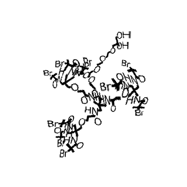 CC(C)(Br)C(=O)NCC(CNC(=O)C(C)(C)Br)(CNC(=O)C(C)(C)Br)COCCC(=O)NCC(CNC(=O)CCOCC(CNC(=O)C(C)(C)Br)(CNC(=O)C(C)(C)Br)CNC(=O)C(C)(C)Br)(CNC(=O)CCOCC(CNC(=O)C(C)(C)Br)(CNC(=O)C(C)(C)Br)CNC(=O)C(C)(C)Br)COCCOCCOCCOCCOCC(O)CO